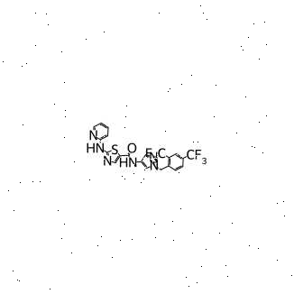 O=C(Nc1cnn(Cc2ccc(C(F)(F)F)cc2C(F)(F)F)c1)c1cnc(Nc2ccccn2)s1